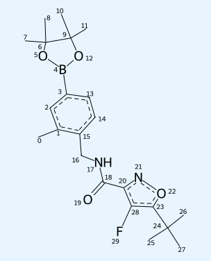 Cc1cc(B2OC(C)(C)C(C)(C)O2)ccc1CNC(=O)c1noc(C(C)(C)C)c1F